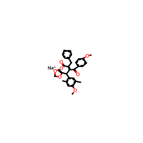 COc1ccc(C(=O)C(=C(Cc2ccccc2)C(=O)[O-])C(C2=COCO2)c2cc(C)c(OC)cc2C)cc1.[Na+]